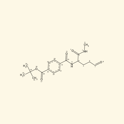 CNC(=O)C(CCC=O)NC(=O)c1ccc(C(=O)OC(C)(C)C)cc1